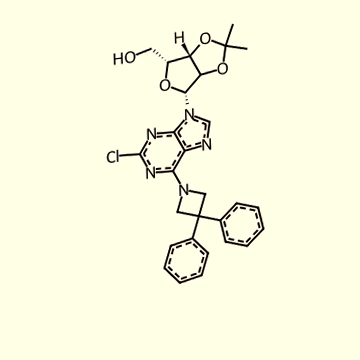 CC1(C)OC2[C@@H](O1)[C@@H](CO)O[C@H]2n1cnc2c(N3CC(c4ccccc4)(c4ccccc4)C3)nc(Cl)nc21